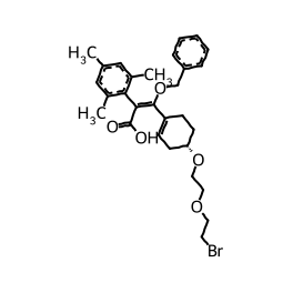 Cc1cc(C)c(/C(C(=O)O)=C(\OCc2ccccc2)C2=CC[C@@H](OCCOCCBr)CC2)c(C)c1